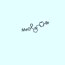 COC(=O)C1CCCN1Cc1ccc(Br)cc1